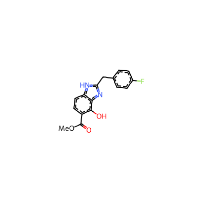 COC(=O)c1ccc2[nH]c(Cc3ccc(F)cc3)nc2c1O